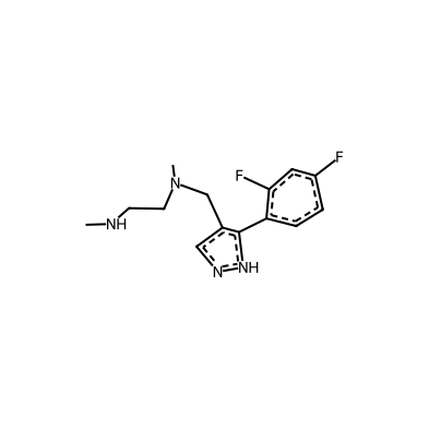 CNCCN(C)Cc1cn[nH]c1-c1ccc(F)cc1F